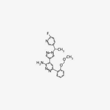 COCOc1ccccc1-c1cc(-c2cnn(C(C)c3ccc(F)nc3)c2)c(N)nn1